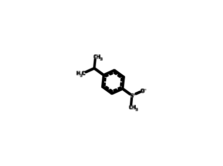 CC(C)c1ccc([S+](C)[O-])cc1